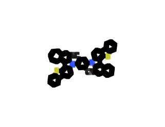 N#Cc1cc(-n2c3ccc4ccccc4c3c3c4sc5ccccc5c4ccc32)c(C#N)cc1-n1c2ccc3c(c2c2c4sc5ccccc5c4ccc21)C=CC=CC3